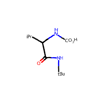 CC(C)C(NC(=O)O)C(=O)NC(C)(C)C